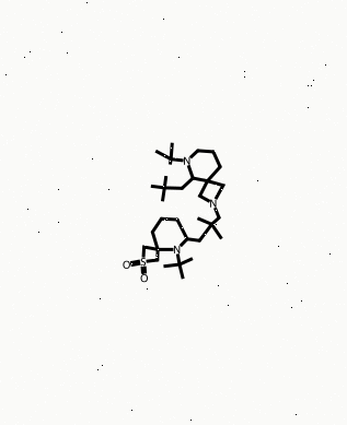 CC(C)(C)CC1N(C(C)(C)C)CCCC12CN(CC(C)(C)CC1CCCC3(CS(=O)(=O)C3)N1C(C)(C)C)C2